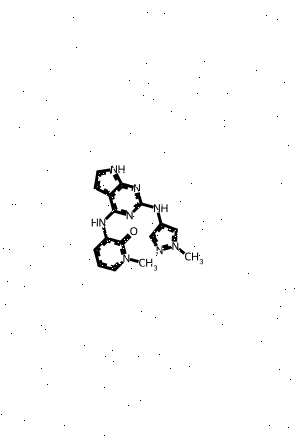 Cn1cc(Nc2nc(Nc3cccn(C)c3=O)c3cc[nH]c3n2)cn1